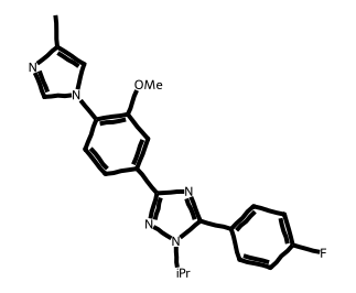 COc1cc(-c2nc(-c3ccc(F)cc3)n(C(C)C)n2)ccc1-n1cnc(C)c1